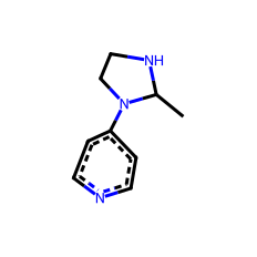 CC1NCCN1c1ccncc1